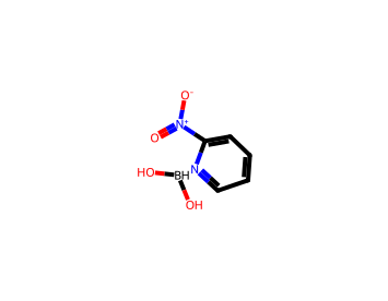 O=[N+]([O-])c1ccccn1.OBO